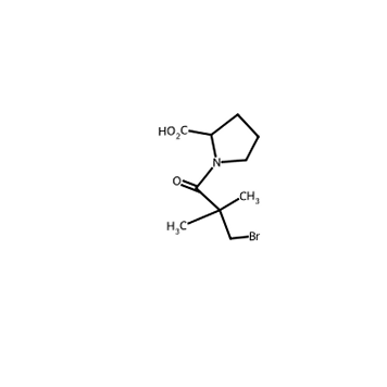 CC(C)(CBr)C(=O)N1CCCC1C(=O)O